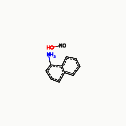 Nc1cccc2ccccc12.O=NO